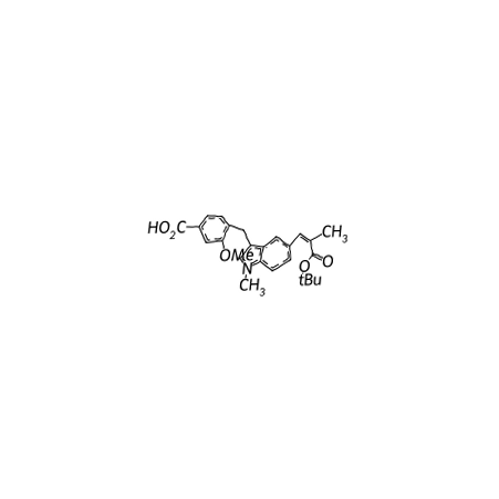 COc1cc(C(=O)O)ccc1Cc1cn(C)c2ccc(C=C(C)C(=O)OC(C)(C)C)cc12